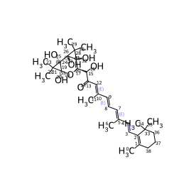 CC1=C(/C=C/C(C)=C/C=C/C(C)=C/C(=O)C(O)[C@H]2O[C@@]3(O)C(C)(C)[C@@]3(O)[C@]3(O)C(C)(C)[C@]23O)C(C)(C)CCC1